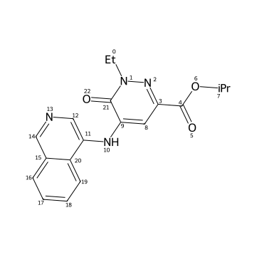 CCn1nc(C(=O)OC(C)C)cc(Nc2cncc3ccccc23)c1=O